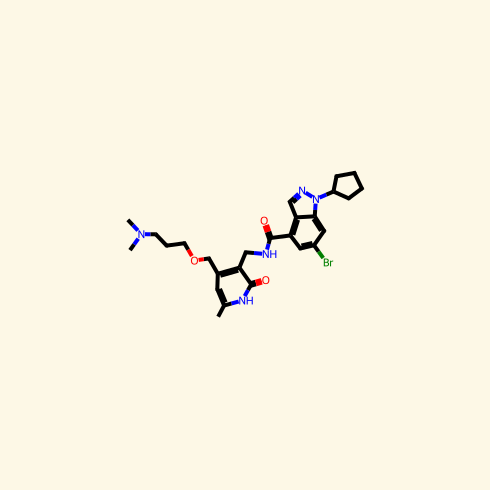 Cc1cc(COCCCN(C)C)c(CNC(=O)c2cc(Br)cc3c2cnn3C2CCCC2)c(=O)[nH]1